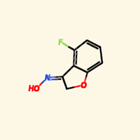 O/N=C1\COc2cccc(F)c21